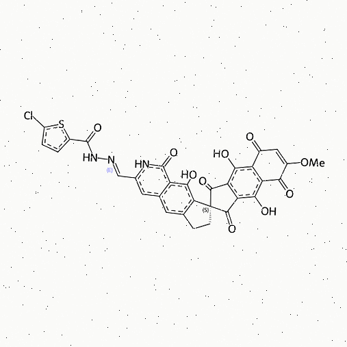 COC1=CC(=O)c2c(O)c3c(c(O)c2C1=O)C(=O)[C@]1(CCc2cc4cc(/C=N/NC(=O)c5ccc(Cl)s5)[nH]c(=O)c4c(O)c21)C3=O